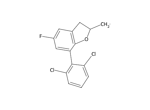 [CH2]C1Cc2cc(F)cc(-c3c(Cl)cccc3Cl)c2O1